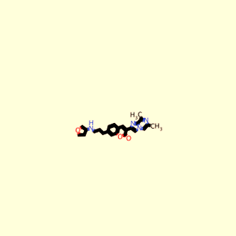 Cc1cn2cc(-c3cc4ccc(CCCNC5CCOC5)cc4oc3=O)nc2c(C)n1